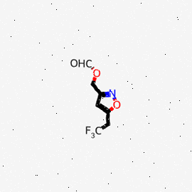 O=COCc1cc(CC(F)(F)F)on1